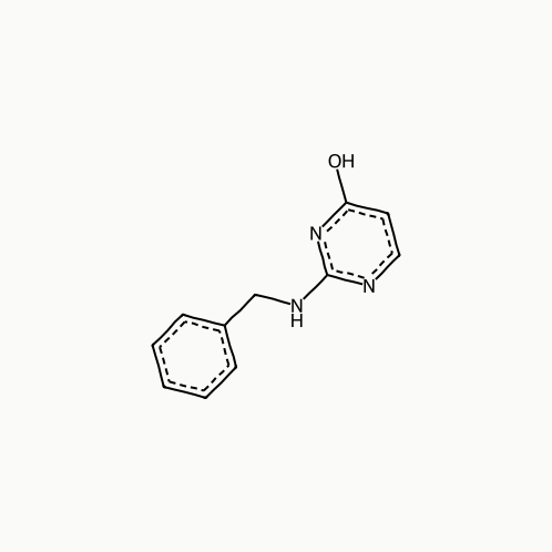 Oc1ccnc(NCc2ccccc2)n1